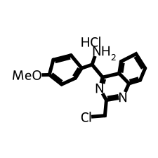 COc1ccc(C(N)c2nc(CCl)nc3ccccc23)cc1.Cl